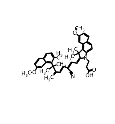 C=C(/C=C/C(C#N)=C/C=C1/N(CCC(=O)O)c2ccc3ccc(OC)cc3c2C1(C)C)C(C)(C)c1c(C)ccc2ccc(OC)cc12